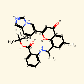 Cc1cc(C(C)Nc2ccccc2C(=O)OC(C)(C)C)c2oc(-c3ccc4cncn4c3)cc(=O)c2c1